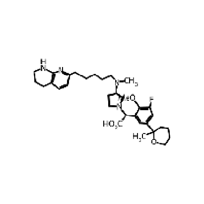 COc1c(F)cc(C2(C)CCCCO2)cc1[C@@H](C(=O)O)N1CC[C@@H](N(C)CCCCCc2ccc3c(n2)NCCC3)C1